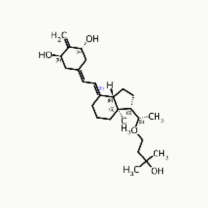 C=C1[C@H](O)CC(=C/C=C2\CCC[C@]3(C)[C@@H]([C@H](C)OCCC(C)(C)O)CC[C@@H]23)C[C@H]1O